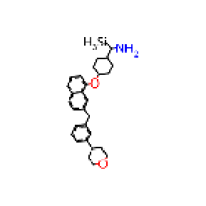 NC([SiH3])C1CCC(Oc2cccc3ccc(Cc4cccc(C5CCOCC5)c4)cc23)CC1